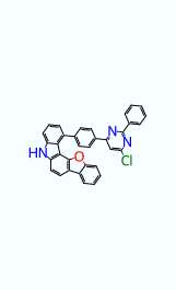 Clc1cc(-c2ccc(-c3cccc4[nH]c5ccc6c7ccccc7oc6c5c34)cc2)nc(-c2ccccc2)n1